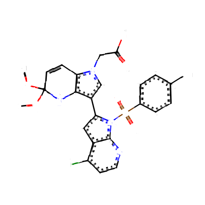 COC1(OC)C=Cc2c(c(-c3cc4c(Cl)ccnc4n3S(=O)(=O)c3ccc(C)cc3)cn2CC(=O)O)N1